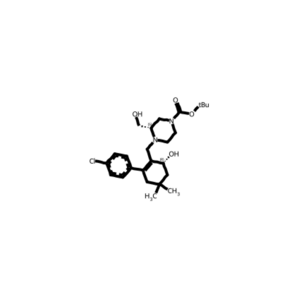 CC1(C)CC(c2ccc(Cl)cc2)=C(CN2CCN(C(=O)OC(C)(C)C)C[C@H]2CO)[C@H](O)C1